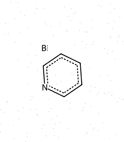 [B].c1ccncc1